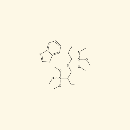 CCC(SSC(CC)[Si](OC)(OC)OC)[Si](OC)(OC)OC.c1ccc2scnc2c1